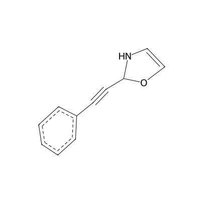 C(#CC1NC=CO1)c1ccccc1